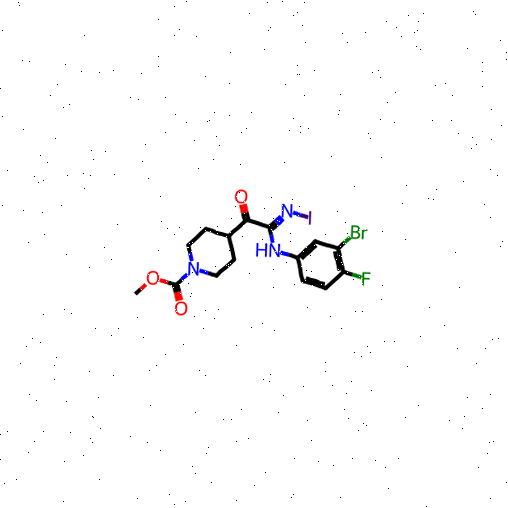 COC(=O)N1CCC(C(=O)/C(=N/I)Nc2ccc(F)c(Br)c2)CC1